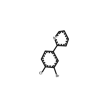 Clc1ccc(-c2ccccn2)cc1Br